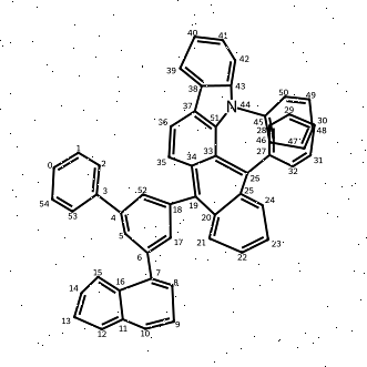 c1ccc(-c2cc(-c3cccc4ccccc34)cc(-c3c4ccccc4c(-c4ccccc4)c4c3ccc3c5ccccc5n(-c5ccccc5)c34)c2)cc1